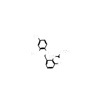 CCc1ccc(OCc2cccc(CC)c2NC(=S)OC)c(C)c1